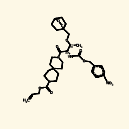 C=CCOC(=O)N1CCC2(CC1)CCN(C(=O)[C@@H](NC(=O)OCc1ccc([N+](=O)[O-])cc1)[C@@H](C)OCC13CCC(CC1)OC3)CC2